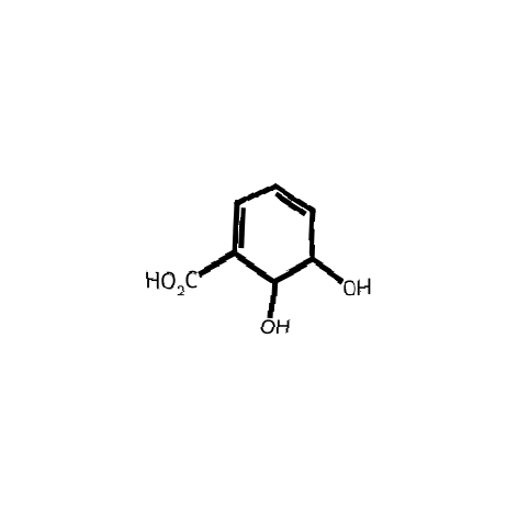 O=C(O)C1=CC=CC(O)C1O